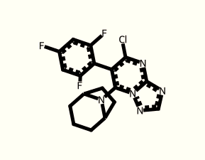 Fc1cc(F)c(-c2c(Cl)nc3ncnn3c2N2C3CCCC2CC3)c(F)c1